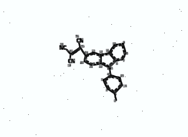 Cc1ccc(-n2c3ccccc3c3cc(C(C#N)=C(C#N)C#N)ccc32)cc1